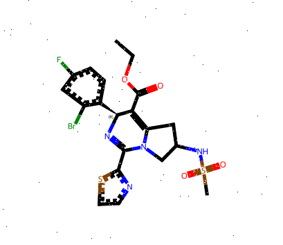 CCOC(=O)C1=C2CC(NS(C)(=O)=O)CN2C(c2nccs2)=N[C@H]1c1ccc(F)cc1Br